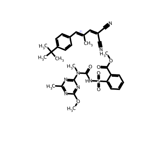 C/C(C=C(C#N)C#N)=C\c1ccc(C(C)(C)C)cc1.COC(=O)c1ccccc1S(=O)(=O)NC(=O)N(C)c1nc(C)nc(OC)n1